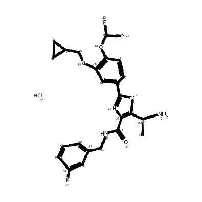 C[C@H](N)c1oc(-c2ccc(OC(F)F)c(OCC3CC3)c2)nc1C(=O)NCc1cccc(F)c1.Cl